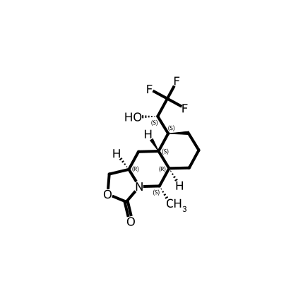 C[C@H]1[C@@H]2CCC[C@H]([C@H](O)C(F)(F)F)[C@H]2C[C@@H]2COC(=O)N21